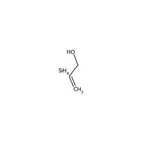 C=CCO.[SiH4]